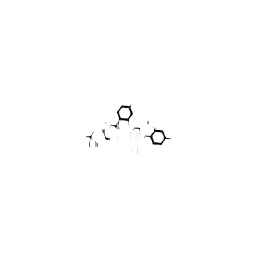 Cc1cc(C)c(NC(=O)Nc2cc(F)ccc2C(=O)N[C@@H](CC(=O)O)C(=O)O)c(C)c1